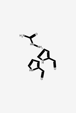 NNC(N)=O.O=Cc1ccc[nH]1.O=Cc1ccc[nH]1